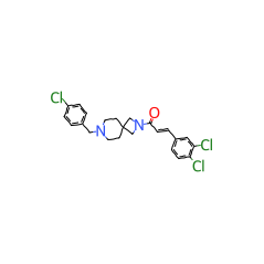 O=C(C=Cc1ccc(Cl)c(Cl)c1)N1CC2(CCN(Cc3ccc(Cl)cc3)CC2)C1